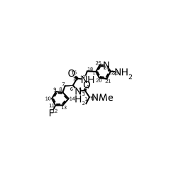 CN[C@H](C)C(=O)N[C@@H](Cc1ccc(F)cc1)C(=O)NCc1ccc(N)nc1